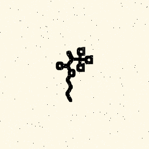 C=C(C(=O)OCCCC)C(Cl)(Cl)Cl